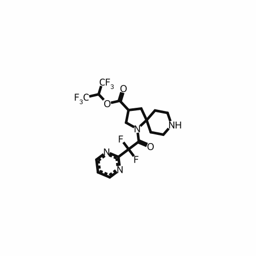 O=C(OC(C(F)(F)F)C(F)(F)F)C1CN(C(=O)C(F)(F)c2ncccn2)C2(CCNCC2)C1